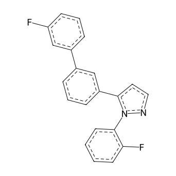 Fc1cccc(-c2cccc(-c3ccnn3-c3ccccc3F)c2)c1